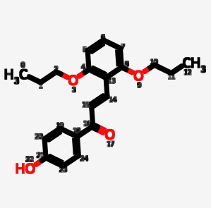 CCCOc1cccc(OCCC)c1C=CC(=O)c1ccc(O)cc1